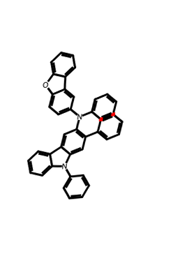 c1ccc(-c2cc3c(cc2N(c2ccccc2)c2ccc4oc5ccccc5c4c2)c2ccccc2n3-c2ccccc2)cc1